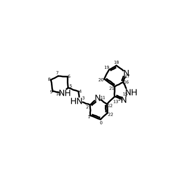 c1cc(NCC2CCCCN2)nc(-c2n[nH]c3ncccc23)c1